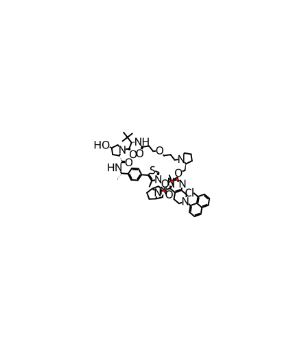 Cc1ncsc1-c1ccc([C@H](C)NC(=O)[C@@H]2C[C@@H](O)CN2C(=O)[C@@H](NC(=O)CCOCCCN2CCC[C@H]2COc2nc3c(c(N4CC5CCC(C4)N5C(=O)OC(C)(C)C)n2)CCN(c2cccc4cccc(Cl)c24)C3)C(C)(C)C)cc1